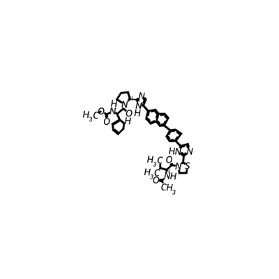 COC(=O)NC(C1=CC=CCC1)C(O)N1CCC[C@H]1c1ncc(-c2ccc3cc(-c4ccc(-c5cnc(C6SCCN6C(=O)[C@@H](NC(C)=O)C(C)C)[nH]5)cc4)ccc3c2)[nH]1